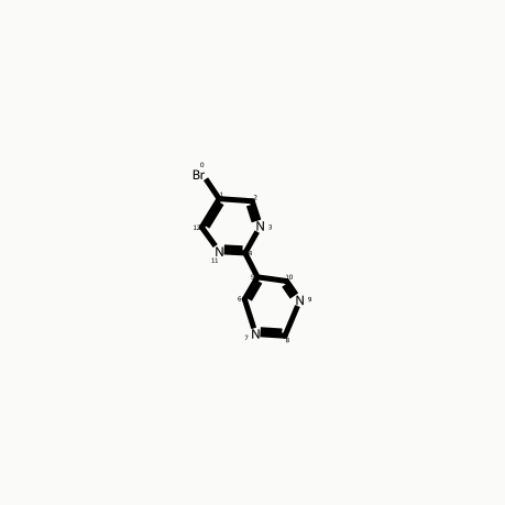 Brc1cnc(-c2cncnc2)nc1